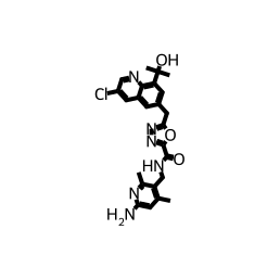 Cc1cc(N)nc(C)c1CNC(=O)c1nnc(Cc2cc(C(C)(C)O)c3ncc(Cl)cc3c2)o1